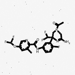 CC(=O)N1CC(N)=NC(c2cc(NC(=O)c3ncc(OC(F)F)cc3C)ccc2F)(C(F)F)C1